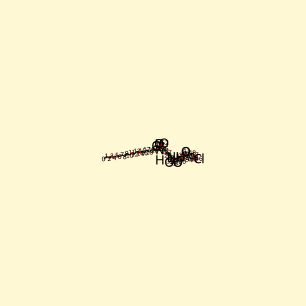 CCC=CCC=CCC=CCC=CCC=CCC=CCCC(=O)NC(CCCCNC(=O)C(C)(C)Oc1ccc(C(=O)c2ccc(Cl)cc2)cc1)C(=O)OC